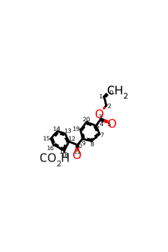 C=CCOC(=O)c1ccc(C(=O)c2ccccc2C(=O)O)cc1